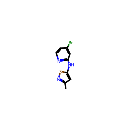 Cc1cc(Nc2cc(Br)ccn2)sn1